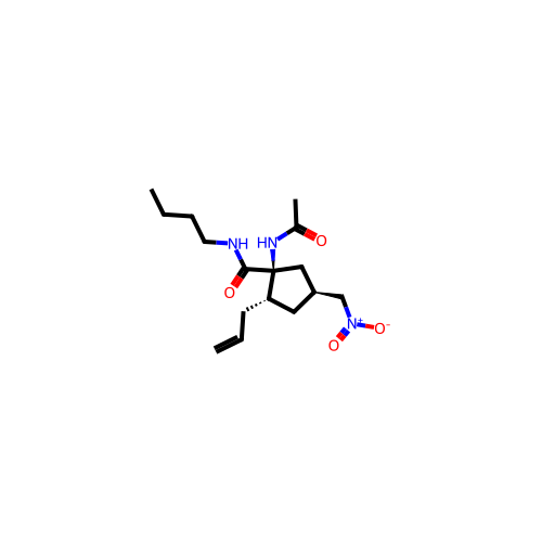 C=CC[C@H]1C[C@H](C[N+](=O)[O-])C[C@@]1(NC(C)=O)C(=O)NCCCC